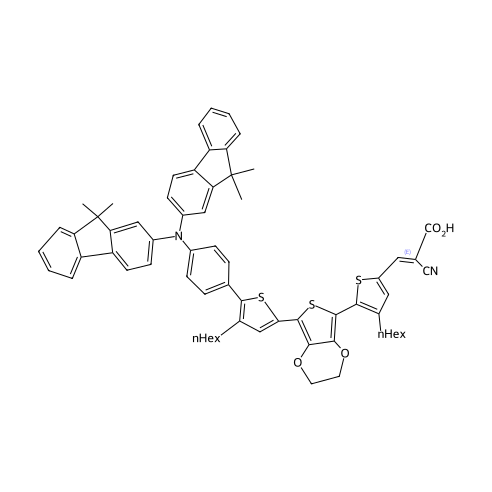 CCCCCCc1cc(-c2sc(-c3sc(/C=C(\C#N)C(=O)O)cc3CCCCCC)c3c2OCCO3)sc1-c1ccc(N(c2ccc3c(c2)C(C)(C)c2ccccc2-3)c2ccc3c(c2)C(C)(C)c2ccccc2-3)cc1